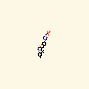 Cc1ccc2c(c1)C(C)(C)C1=[N+]2CCC2Oc3cc(N4CCN(CC(=O)O)CC4)ccc3C=C12